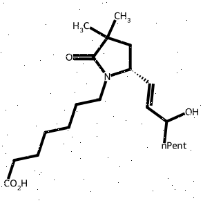 CCCCCC(O)C=C[C@H]1CC(C)(C)C(=O)N1CCCCCCC(=O)O